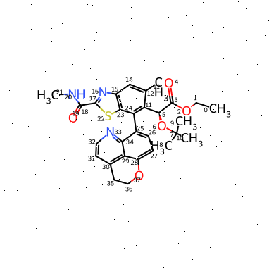 CCOC(=O)[C@@H](OC(C)(C)C)c1c(C)cc2nc(C(=O)NC)sc2c1-c1ccc2c3c(ccnc13)CCO2